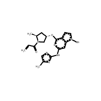 C=CC(=O)N1C[C@@H](Oc2nc(Nc3ncc(C)s3)cc3c2ccn3C(C)C)C[C@@H]1C